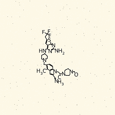 Cc1c(CN2CCC(Nc3nc(N)nc4sc(CC(F)(F)F)cc34)CC2)ccc2c1cc(C#N)n2C[C@H](C)N1CCN(C=O)CC1